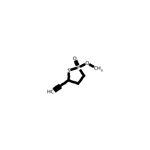 C#CC1CCP(=O)(OC)S1